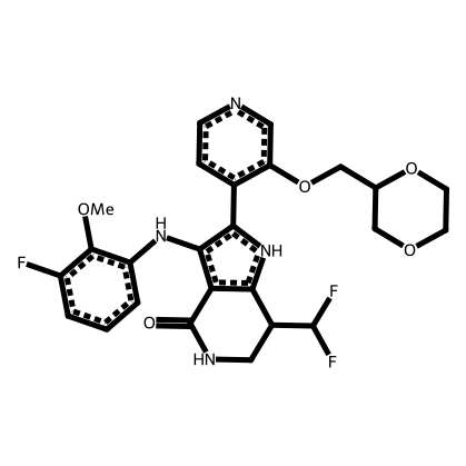 COc1c(F)cccc1Nc1c(-c2ccncc2OCC2COCCO2)[nH]c2c1C(=O)NCC2C(F)F